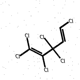 ClC=CC(Cl)(Cl)C(Cl)=C(Cl)Cl